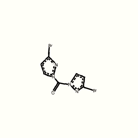 O=C(n1ccc(Br)n1)n1ccc(Br)n1